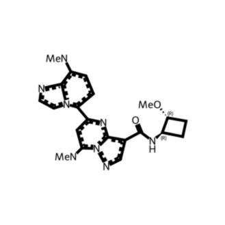 CNc1ccc(-c2cc(NC)n3ncc(C(=O)N[C@@H]4CC[C@H]4OC)c3n2)n2ccnc12